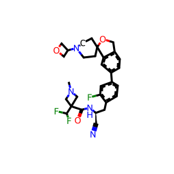 CN1CC(C(=O)N[C@H](C#N)Cc2ccc(-c3ccc4c(c3)C3(CCN(C5COC5)CC3)OC4)cc2F)(C(F)F)C1